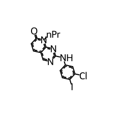 CCCn1c(=O)ccc2cnc(Nc3ccc(I)c(Cl)c3)nc21